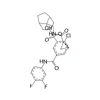 O=C(Nc1ccc(F)c(F)c1)c1ccc(Cl)c(S(=O)(=O)C2CC3CCC(C2)C3(O)CNC(=O)C2CC2)c1